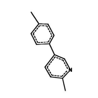 Cc1ccc(-c2ccc(C)nc2)cc1